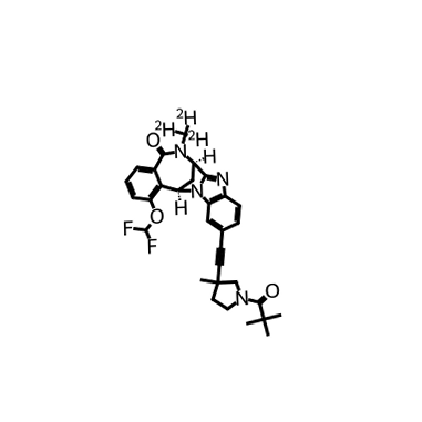 [2H]C([2H])([2H])N1C(=O)c2cccc(OC(F)F)c2[C@H]2C[C@@H]1c1nc3ccc(C#CC4(C)CCN(C(=O)C(C)(C)C)C4)cc3n12